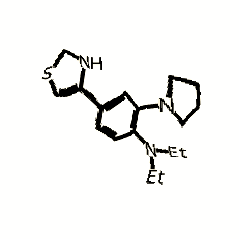 CCN(CC)c1ccc(C2=CSCN2)cc1N1CCCC1